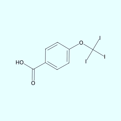 O=C(O)c1ccc(OC(I)(I)I)cc1